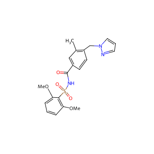 COc1cccc(OC)c1S(=O)(=O)NC(=O)c1ccc(Cn2cccn2)c(C)c1